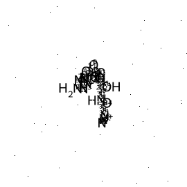 COC[C@H]1O[C@@H](n2cnc3c(N)ncnc32)[C@@H](O)C1OP(=O)(O)OCC(CO)CCCCNC(=O)CCCN=[N+]=[N-]